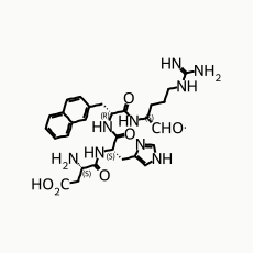 N=C(N)NCCC[C@@H]([C]=O)NC(=O)[C@@H](Cc1ccc2ccccc2c1)NC(=O)[C@H](Cc1c[nH]cn1)NC(=O)[C@@H](N)CC(=O)O